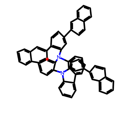 c1ccc(-n2c3ccccc3c3ccccc32)c(N(c2ccc(-c3ccc4ccccc4c3)cc2)c2cc(-c3ccc4ccccc4c3)ccc2-c2ccc3ccccc3c2)c1